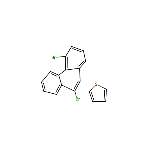 Brc1cc2cccc(Br)c2c2ccccc12.c1ccsc1